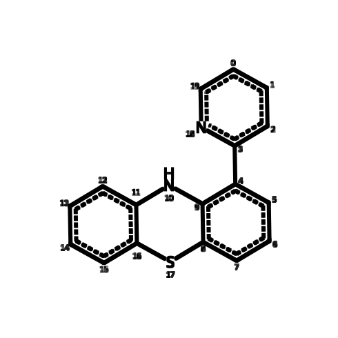 c1ccc(-c2cccc3c2Nc2ccccc2S3)nc1